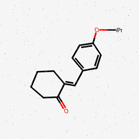 CC(C)Oc1ccc(C=C2CCCCC2=O)cc1